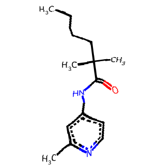 CCCCC(C)(C)C(=O)Nc1ccnc(C)c1